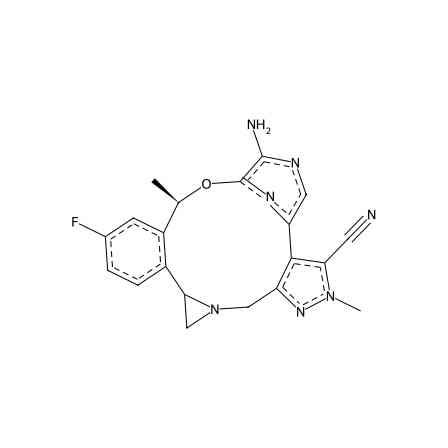 C[C@H]1Oc2nc(cnc2N)-c2c(nn(C)c2C#N)CN2CC2c2ccc(F)cc21